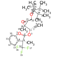 C#C[C@H](OC(=O)[C@](C)(c1ccccc1)C(F)(F)F)C1(C)O[C@H]1CO[Si](C(C)C)(C(C)C)C(C)C